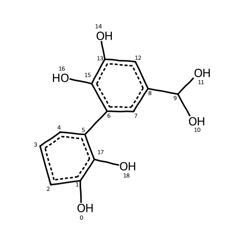 Oc1cccc(-c2cc(C(O)O)cc(O)c2O)c1O